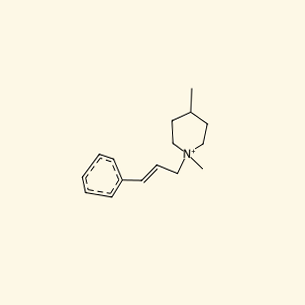 CC1CC[N+](C)(C/C=C/c2ccccc2)CC1